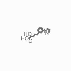 O=C(O)C(O)CCCc1cccc(-n2cccn2)c1